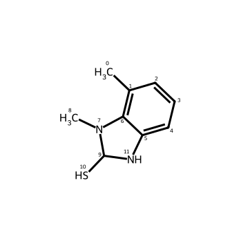 Cc1cccc2c1N(C)C(S)N2